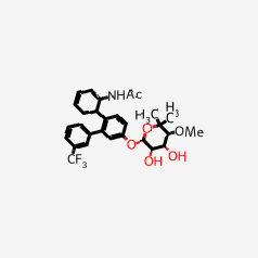 COC1[C@@H](O)[C@@H](O)[C@@H](Oc2ccc(C3CC=CCC3NC(C)=O)c(-c3cccc(C(F)(F)F)c3)c2)OC1(C)C